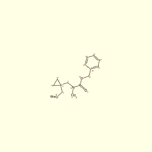 COCC1(CN(C)C(=O)OCc2ccccc2)CC1